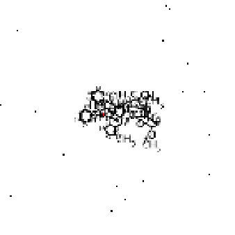 CCOC1C2OC3(OCC45CC6C(C)CCC6C6(C=O)CC4C=C(C(C)C)C65C(=O)OC(c4ccccc4)c4ccccc4)OC2OC1C3O[Si](C)(C)C(C)(C)C